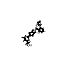 Cc1nc(C2=CC3CN(C(=O)c4c(F)cccc4-n4nccn4)CC3C2)nc(C(C)(C)O)c1F